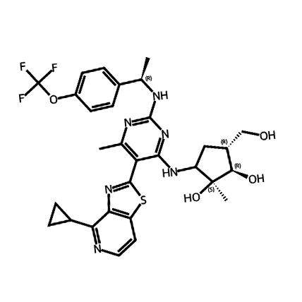 Cc1nc(N[C@H](C)c2ccc(OC(F)(F)F)cc2)nc(NC2C[C@H](CO)[C@@H](O)[C@@]2(C)O)c1-c1nc2c(C3CC3)nccc2s1